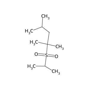 CC(C)CC(C)(C)S(=O)(=O)C(C)C